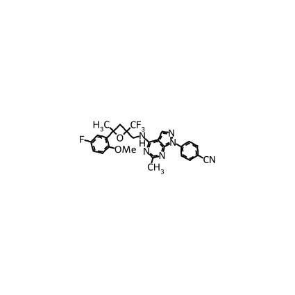 COc1ccc(F)cc1C1(C)CC(CNc2nc(C)nc3c2cnn3-c2ccc(C#N)cc2)(C(F)(F)F)O1